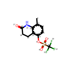 Cc1ccc(OS(=O)(=O)C(F)(F)F)c2c1NC(=O)CC2